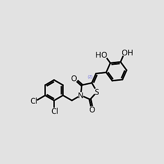 O=C1S/C(=C\c2cccc(O)c2O)C(=O)N1Cc1cccc(Cl)c1Cl